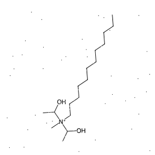 CCCCCCCCCCCC[N+](C)(C(C)O)C(C)O